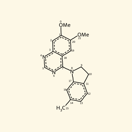 COc1cc2ncnc(N3CCc4ccc(C)cc43)c2cc1OC